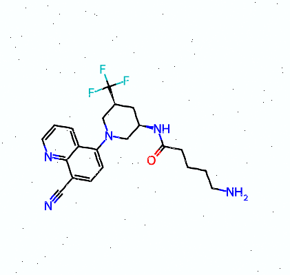 N#Cc1ccc(N2C[C@H](NC(=O)CCCCN)C[C@H](C(F)(F)F)C2)c2cccnc12